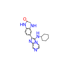 O=C1CNc2cc(-c3nc4cnccn4c3NC3CCCCC3)ccc2N1